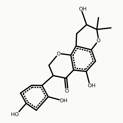 CC1(C)Oc2cc(O)c3c(c2CC1O)OCC(c1ccc(O)cc1O)C3=O